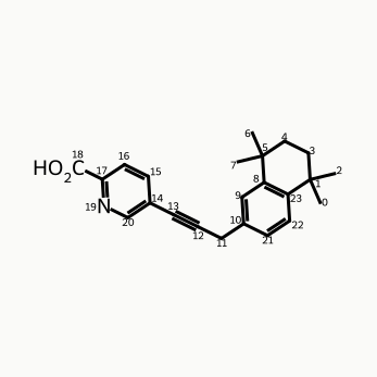 CC1(C)CCC(C)(C)c2cc(CC#Cc3ccc(C(=O)O)nc3)ccc21